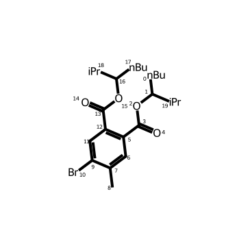 CCCCC(OC(=O)c1cc(C)c(Br)cc1C(=O)OC(CCCC)C(C)C)C(C)C